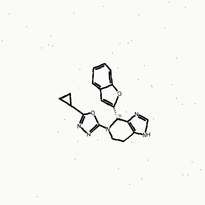 c1ccc2oc([C@@H]3c4nc[nH]c4CCN3c3nnc(C4CC4)o3)cc2c1